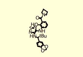 CC(C)(C)C(Nc1nsnc1Nc1cccc(C(=O)N2CCCC2)c1O)c1ccc2c(c1)OCO2